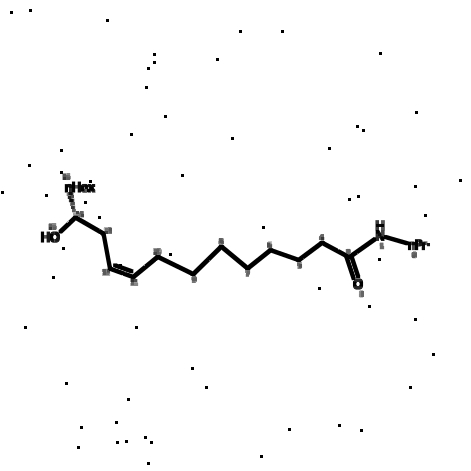 CC[CH]NC(=O)CCCCCCC/C=C\C[C@H](O)CCCCCC